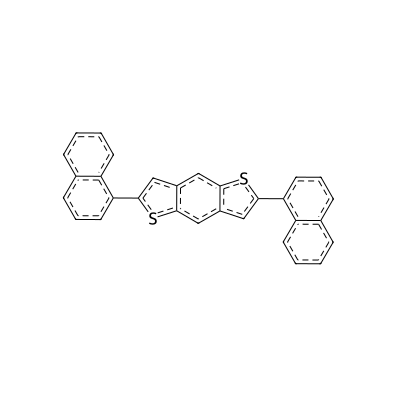 c1ccc2c(-c3cc4cc5sc(-c6cccc7ccccc67)cc5cc4s3)cccc2c1